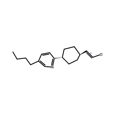 CCCCc1ccc([C@H]2CC[C@H](/C=C/Cl)CC2)nc1